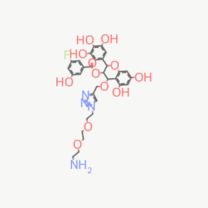 NCCOCCOCCn1cc(COC2c3c(O)cc(O)cc3OC(c3cc(O)c(O)c(O)c3)C2OC(=O)c2cc(O)cc(F)c2)nn1